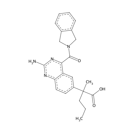 CCCC(C)(C(=O)O)c1ccc2nc(N)nc(C(=O)N3Cc4ccccc4C3)c2c1